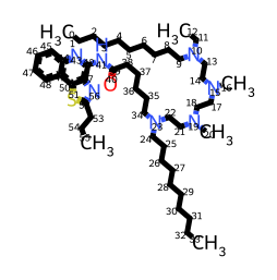 CCCCCCCCCCN(CC)CCN(C)CCN(C)CCN(CCCCCCCCCC)CCCCCC(=O)Nc1nc2ccccc2c2sc(CCC)nc12